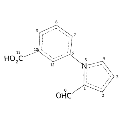 O=Cc1cccn1-c1cccc(C(=O)O)c1